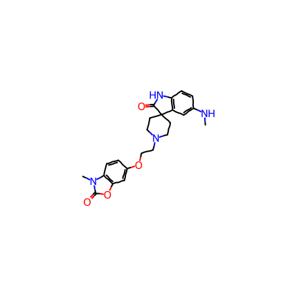 CNc1ccc2c(c1)C1(CCN(CCOc3ccc4c(c3)oc(=O)n4C)CC1)C(=O)N2